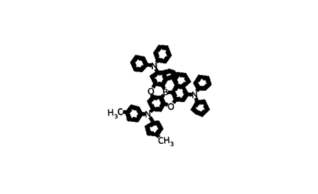 Cc1ccc(N(c2ccc(C)cc2)c2cc3c4c(c2)Oc2cc(N(c5ccccc5)c5ccccc5)c5ccccc5c2B4c2c(cc(N(c4ccccc4)c4ccccc4)c4ccccc24)O3)cc1